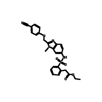 CCOC(=O)Cc1ccccc1S(=O)(=O)Nc1ccc2nc(COc3ccc(C#N)cc3)n(C)c2c1